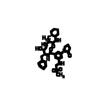 C[C@H](NC[C@H](O)[C@H](Cc1ccccc1)NC(=O)c1cc(NCS(C)(=O)=O)cc(N2CCCC2=O)c1)C(=O)NC1CCCCC1